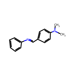 CN(C)c1ccc(C=Nc2ccccc2)cc1